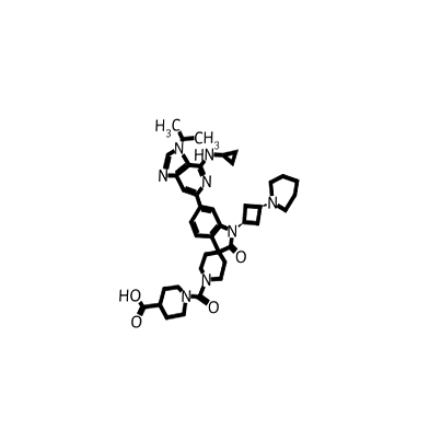 CC(C)n1cnc2cc(-c3ccc4c(c3)N([C@H]3C[C@@H](N5CCCCC5)C3)C(=O)C43CCN(C(=O)N4CCC(C(=O)O)CC4)CC3)nc(NC3CC3)c21